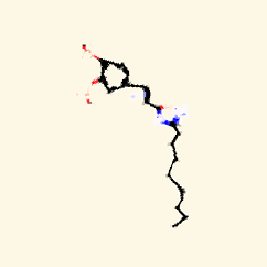 CCCCCCCCc1noc(/C=C/c2ccc(OC)c(OC)c2)n1